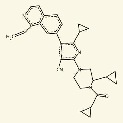 C=Cc1nccc2ccc(-c3cc(C#N)c(N4CCN(C(=O)C5CC5)C(C5CC5)C4)nc3C3CC3)cc12